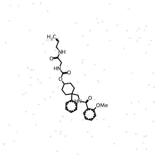 C=CCNC(=O)CNC(=O)OC1CCC(CNC(=O)c2ccccc2OC)(c2ccccc2)CC1